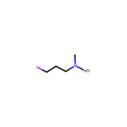 CCCN(C)CCCI